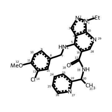 CCn1ncc2c(NCc3ccc(OC)c(Cl)c3)c(C(=O)NC(C)c3ccccn3)cnc21